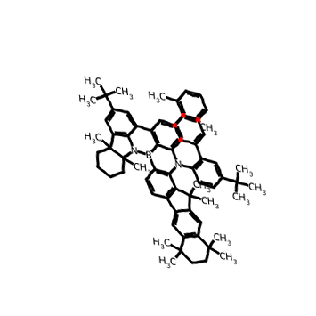 Cc1cccc(C)c1-c1cc2c3c(c1)N(c1ccc(C(C)(C)C)cc1-c1ccccc1)c1c(ccc4c1C(C)(C)c1cc5c(cc1-4)C(C)(C)CCC5(C)C)B3N1c3c-2cc(C(C)(C)C)cc3C2(C)CCCCC12C